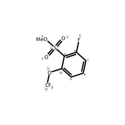 COS(=O)(=O)c1c(F)cccc1OC(F)(F)F